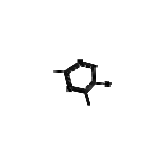 Cc1n[c]c(Br)c(C)n1